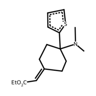 CCOC(=O)C=C1CCC(c2cccs2)(N(C)C)CC1